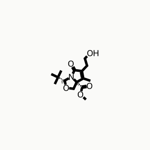 COC(=O)[C@]12CO[C@H](C(C)(C)C)N1C(=O)C(CCO)=C2C